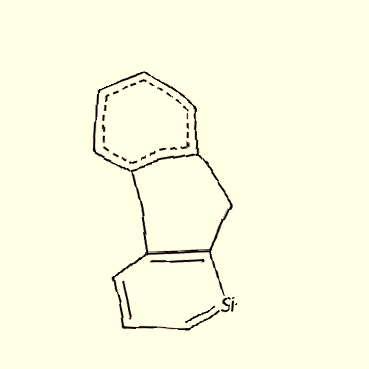 C1=CC2=C(Cc3ccccc32)[Si]=C1